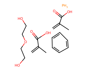 C=C(C)C(=O)O.C=C(C)C(=O)O.OCCOCCO.P.c1ccccc1